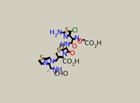 C[C@@H](NC=O)c1n2ccsc2c[n+]1CC1=C(C(=O)O)N2C(=O)[C@@H](NC(=O)/C(=N\OCC(=O)O)c3nc(N)sc3Cl)[C@H]2SC1